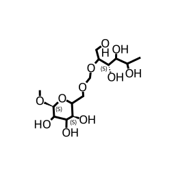 CO[C@H]1OC(COCOC(CO)[C@@H](O)C(O)C(C)O)[C@@H](O)C(O)C1O